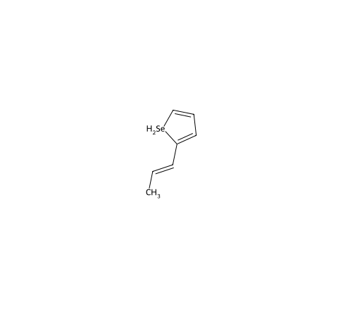 CC=CC1=CC=C[SeH2]1